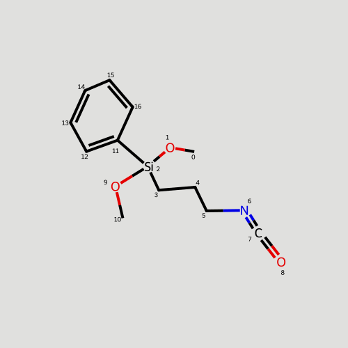 CO[Si](CCCN=C=O)(OC)c1ccccc1